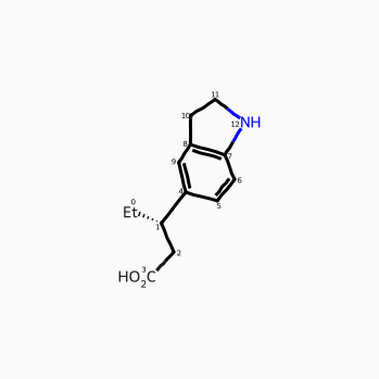 CC[C@@H](CC(=O)O)c1ccc2c(c1)CCN2